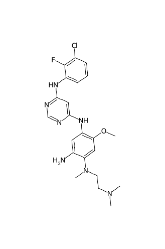 COc1cc(N(C)CCN(C)C)c(N)cc1Nc1cc(Nc2cccc(Cl)c2F)ncn1